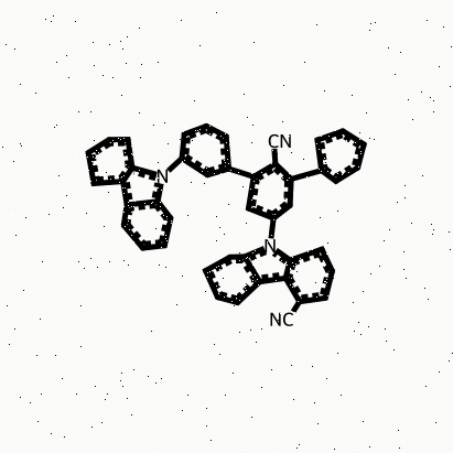 N#Cc1c(-c2ccccc2)cc(-n2c3ccccc3c3c(C#N)cccc32)cc1-c1cccc(-n2c3ccccc3c3ccccc32)c1